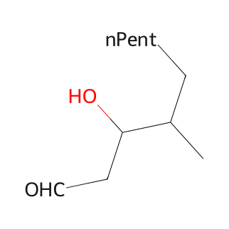 CCCCCCC(C)C(O)CC=O